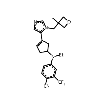 CCN(c1ccc(C#N)c(C(F)(F)F)c1)C1CC=C(c2cncn2CC2(C)COC2)C1